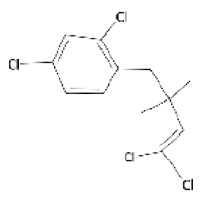 CC(C)(C=C(Cl)Cl)Cc1ccc(Cl)cc1Cl